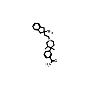 CC1CN(CCC2(N)Cc3ccccc3C2)CCC1(C)c1cccc(C(N)=O)c1